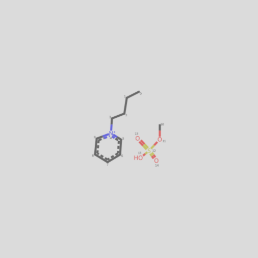 CCCC[n+]1ccccc1.COS(=O)(=O)O